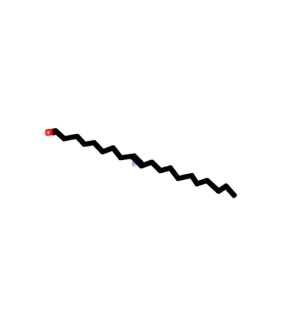 CCCCCCCCCC/C=C/CCCCCCC[C]=O